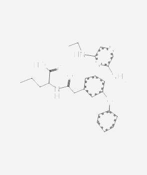 CCCC(NC(=O)Cc1cccc(Oc2ccccc2)c1)C(=O)O.CCNc1cncc(N)n1